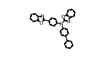 c1ccc(-c2ccc(N(c3ccc(-c4nc5ccccc5o4)cc3)c3nc4ccccc4o3)cc2)cc1